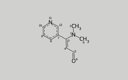 CN(C)C(=CC=O)c1cccnc1